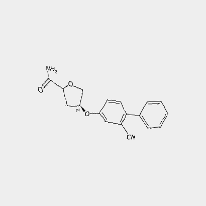 N#Cc1cc(O[C@H]2[CH]C(C(N)=O)OC2)ccc1-c1ccccc1